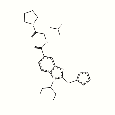 CCC(CC)n1c(Cc2cccs2)nc2cc(C(=O)N[C@@H](CC(C)C)C(=O)N3CCCC3)ccc21